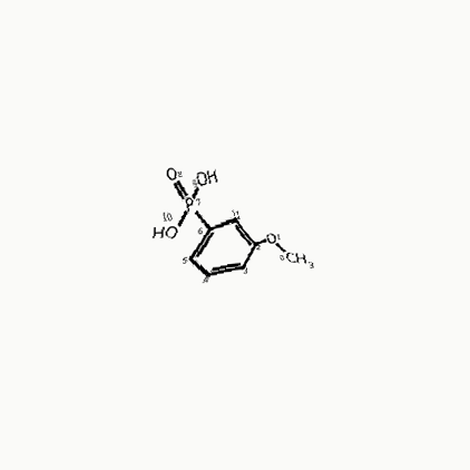 COc1cccc(P(=O)(O)O)c1